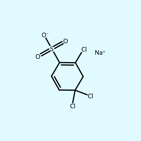 O=S(=O)([O-])C1=C(Cl)CC(Cl)(Cl)C=C1.[Na+]